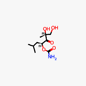 CC(C)C[C@H](OC(N)=O)C(=O)[C@](C)(O)CO